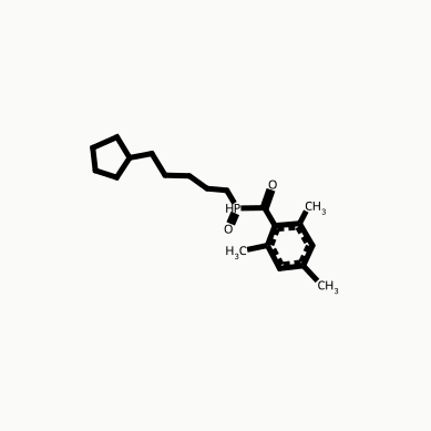 Cc1cc(C)c(C(=O)[PH](=O)CCCCCC2CCCC2)c(C)c1